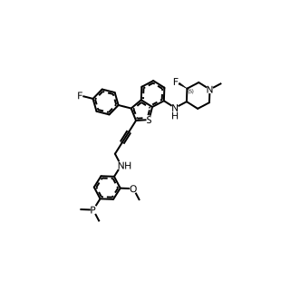 COc1cc(P(C)C)ccc1NCC#Cc1sc2c(NC3CCN(C)C[C@@H]3F)cccc2c1-c1ccc(F)cc1